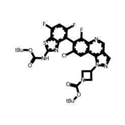 CC(C)(C)OC(=O)Nc1nc2c(-c3c(Cl)cc4c(ncc5cnn(C6CN(C(=O)OC(C)(C)C)C6)c54)c3F)c(F)cc(F)c2s1